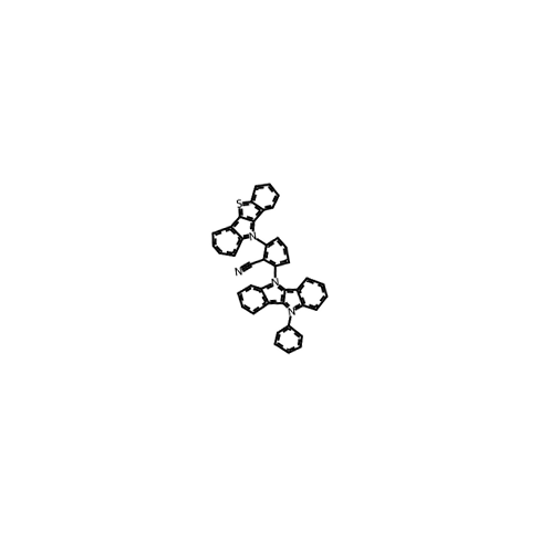 N#Cc1c(-n2c3ccccc3c3sc4ccccc4c32)cccc1-n1c2ccccc2c2c1c1ccccc1n2-c1ccccc1